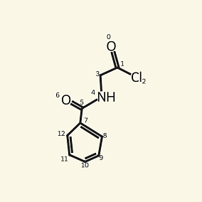 O=C(Cl)CNC(=O)c1ccccc1